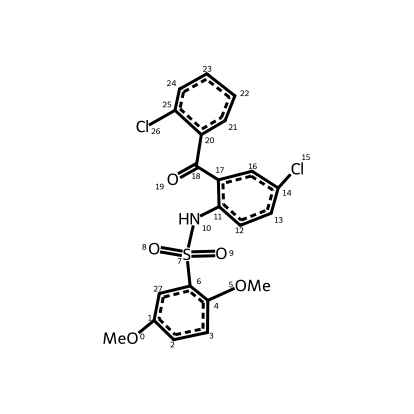 COc1ccc(OC)c(S(=O)(=O)Nc2ccc(Cl)cc2C(=O)c2ccccc2Cl)c1